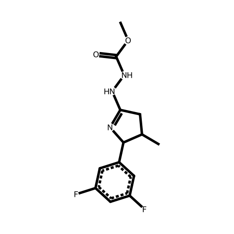 COC(=O)NNC1=NC(c2cc(F)cc(F)c2)C(C)C1